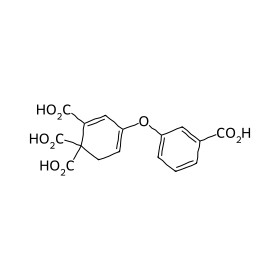 O=C(O)C1=CC(Oc2cccc(C(=O)O)c2)=CCC1(C(=O)O)C(=O)O